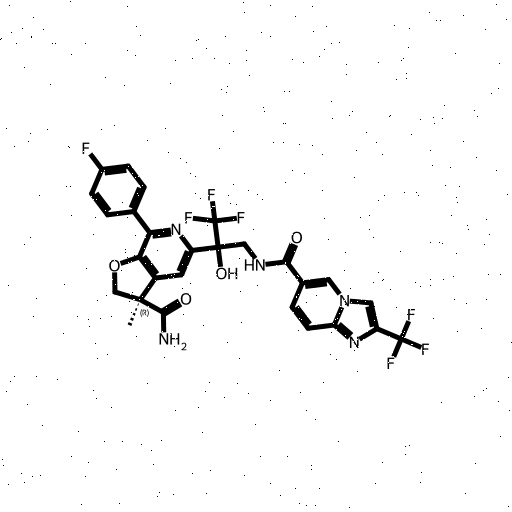 C[C@]1(C(N)=O)COc2c1cc(C(O)(CNC(=O)c1ccc3nc(C(F)(F)F)cn3c1)C(F)(F)F)nc2-c1ccc(F)cc1